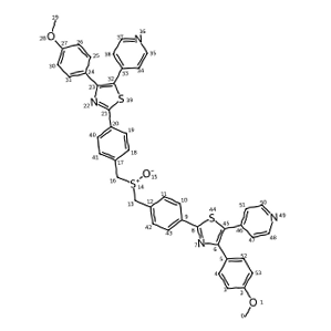 COc1ccc(-c2nc(-c3ccc(C[S+]([O-])Cc4ccc(-c5nc(-c6ccc(OC)cc6)c(-c6ccncc6)s5)cc4)cc3)sc2-c2ccncc2)cc1